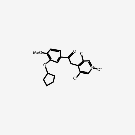 COc1ccc(C(=O)Cc2c(Cl)c[n+]([O-])cc2Cl)cc1OC1CCCC1